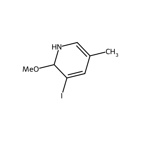 COC1NC=C(C)C=C1I